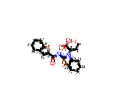 CCC(C(=O)O)n1c(=NC(=O)c2cc3ccccc3s2)sc2ccccc21